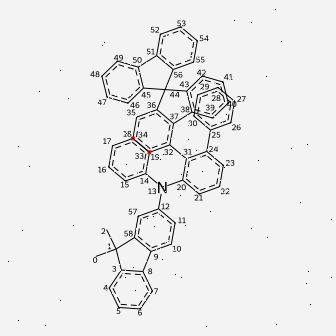 CC1(C)c2ccccc2-c2ccc(N(c3ccccc3)c3cccc(-c4ccccc4)c3-c3cccc4c3-c3ccccc3C43c4ccccc4-c4ccccc43)cc21